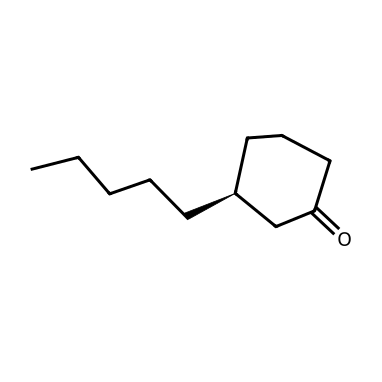 CCCCC[C@H]1CCCC(=O)C1